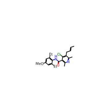 C/C=C/Cc1c(C)nc(C)c(C(=O)Nc2c(CC)cc(OC)cc2CC)c1Cl